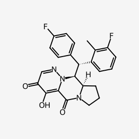 Cc1c(F)cccc1[C@@H](c1ccc(F)cc1)[C@H]1[C@H]2CCCN2C(=O)c2c(O)c(=O)cnn21